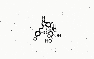 COc1ccc(CCc2c[nH]c3cc(C)cc(O[C@]4(O)[C@@H](O)O[C@H](CO)[C@@H](O)[C@@H]4O)c23)cc1